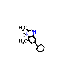 C=C1C=Nc2cc(C3=CCCCC3)cc(C)c2N1C